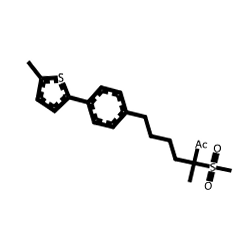 CC(=O)C(C)(CCCCc1ccc(-c2ccc(C)s2)cc1)S(C)(=O)=O